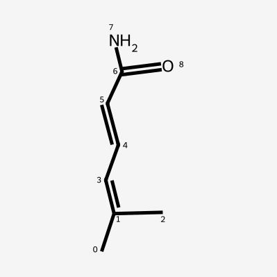 CC(C)=CC=CC(N)=O